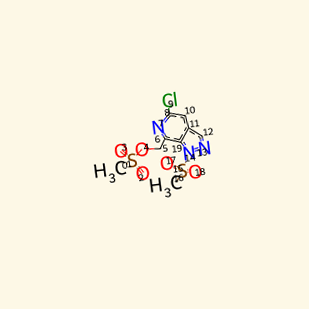 CS(=O)(=O)OCc1nc(Cl)cc2cnn(S(C)(=O)=O)c12